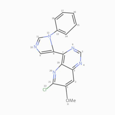 COc1cc2ncnc(-c3cncn3-c3ccccc3)c2nc1Cl